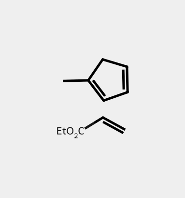 C=CC(=O)OCC.CC1=CC=CC1